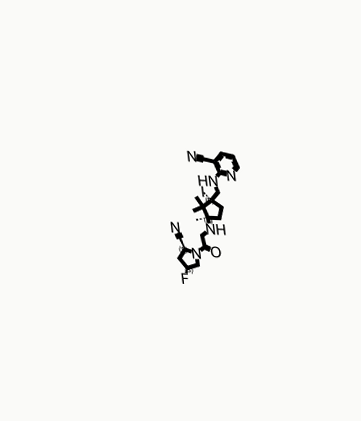 CC1(C)[C@@](I)(CNc2ncccc2C#N)CC[C@@]1(C)NCC(=O)N1C[C@@H](F)C[C@H]1C#N